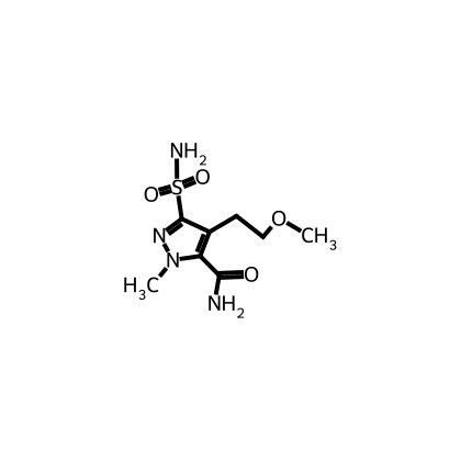 COCCc1c(S(N)(=O)=O)nn(C)c1C(N)=O